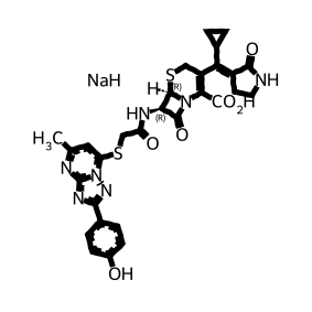 Cc1cc(SCC(=O)N[C@@H]2C(=O)N3C(C(=O)O)=C(C(=C4CCNC4=O)C4CC4)CS[C@H]23)n2nc(-c3ccc(O)cc3)nc2n1.[NaH]